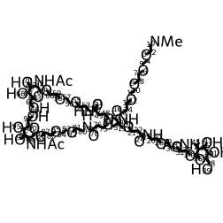 CNCCOCCOCCOCCOCCC(=O)NC(COCCC(=O)NCCOCCOCCOC1OC(CO)C(O)C(O)C1NC(C)=O)(COCCC(=O)NCCOCCOCCOC1OC(CO)C(O)C(O)C1NC(C)=O)COCCC(=O)NCCOCCOCCOC1OC(CO)C(O)C(O)C1NC(C)=O